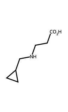 O=C(O)CCNCC1CC1